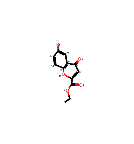 CCOC(=O)c1cc(=O)c2cc(Br)ccc2o1